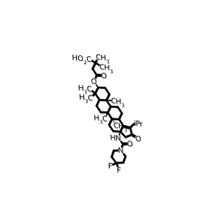 CC(C)C1=C2C3CCC4[C@@]5(C)CC[C@H](OC(=O)CC(C)(C)C(=O)O)C(C)(C)C5CC[C@@]4(C)[C@]3(C)CC[C@@]2(NC(=O)N2CCC(F)(F)CC2)CC1=O